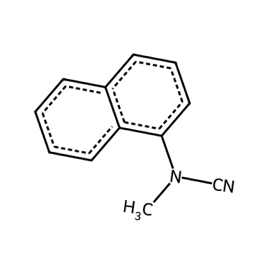 CN(C#N)c1cccc2ccccc12